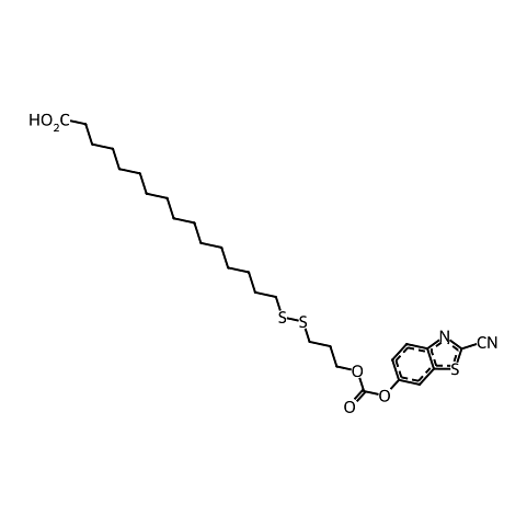 N#Cc1nc2ccc(OC(=O)OCCCSSCCCCCCCCCCCCCCCC(=O)O)cc2s1